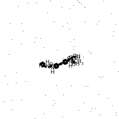 C[C@@H](O)[C@H](NC(=O)c1ccc(C#Cc2ccc(NC(=O)CNCc3cccnc3)cc2)cc1)C(=O)NO